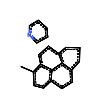 Cc1ccc2ccc3cccc4ccc1c2c34.c1ccncc1